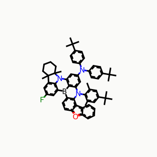 Cc1cc(C(C)(C)C)cc(C)c1N1c2cc(N(c3ccc(C(C)(C)C)cc3)c3ccc(C(C)(C)C)cc3)cc3c2B(c2cc(F)cc4c2N3C2(C)CCCCC42C)c2ccc3oc4ccccc4c3c21